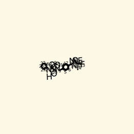 CON(Cc1ccc(-c2noc(C(F)(F)F)n2)cc1)C(=O)C(=O)NC1CCCC1